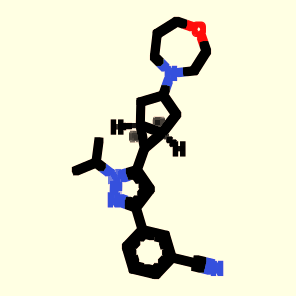 CC(C)n1nc(-c2cccc(C#N)c2)cc1C1[C@H]2CC(N3CCCOCC3)C[C@@H]12